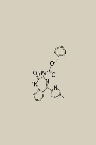 Cc1ccc(C2=NC(NC(=O)OCc3ccccc3)C(=O)N(C)c3ccccc32)nc1